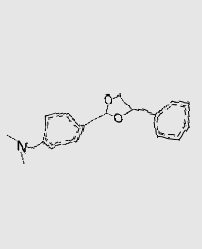 CN(C)c1ccc(C2OCC(c3ccccc3)O2)cc1